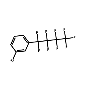 [O]c1cccc(C(F)(F)C(F)(F)C(F)(F)C(F)(F)F)c1